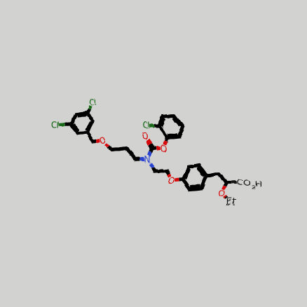 CCOC(Cc1ccc(OCCN(CCCOCc2cc(Cl)cc(Cl)c2)C(=O)Oc2ccccc2Cl)cc1)C(=O)O